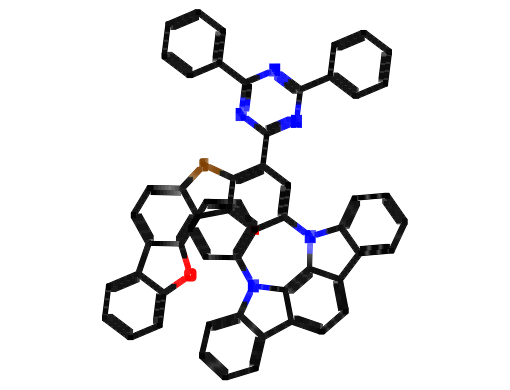 c1ccc(-c2nc(-c3ccccc3)nc(-c3cc(-n4c5ccccc5c5ccc6c7ccccc7n(-c7ccccc7)c6c54)cc4c3sc3ccc5c6ccccc6oc5c34)n2)cc1